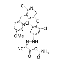 COc1ccc(Cc2cc(Oc3c(Cl)cc(NN=C(C#N)C(=O)OC(N)=O)cc3Cl)nnc2Cl)nn1